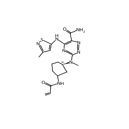 C=CC(=O)NC1CCC[C@@H](N(C)c2nnc(C(N)=O)c(Nc3cc(C)ns3)n2)C1